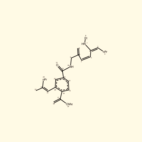 C=C(/C=C\C(=C/CCC)NCC)CNC(=O)c1ccc(C(=C)OC)c(/C=C(/C)CCC)c1